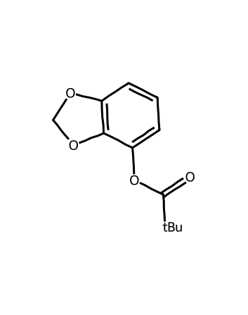 CC(C)(C)C(=O)Oc1cccc2c1OCO2